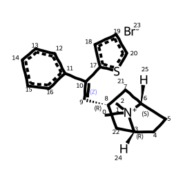 C[N+]1(C)[C@@H]2CC[C@H]1C[C@@H](/C=C(/c1ccccc1)c1cccs1)C2.[Br-]